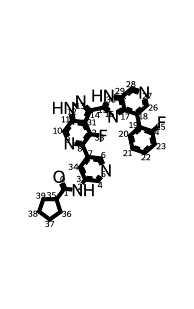 O=C(Nc1cncc(-c2ncc3[nH]nc(-c4nc5c(-c6ccccc6F)cncc5[nH]4)c3c2F)c1)C1CCCC1